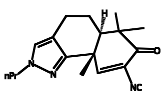 [C-]#[N+]C1=C[C@]2(C)c3nn(CCC)cc3CC[C@H]2C(C)(C)C1=O